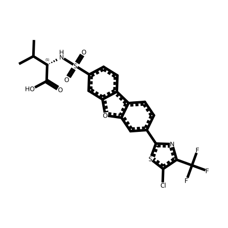 CC(C)[C@H](NS(=O)(=O)c1ccc2c(c1)oc1cc(-c3nc(C(F)(F)F)c(Cl)s3)ccc12)C(=O)O